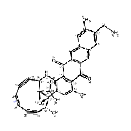 Cc1cc2cc3c(cc2cc1CN)C(=O)c1c(O)cc2c(c1C3=O)N[C@H]1C#C/C=C\C#C[C@@H](O)[C@@]23OC13[C@@H](C)O